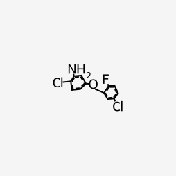 Nc1cc(OCc2cc(Cl)ccc2F)ccc1Cl